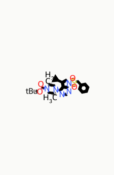 C[C@@H]1CN(c2ncnc3c2c(C2CC2)cn3S(=O)(=O)Cc2ccccc2)[C@@H](C)CN1C(=O)OC(C)(C)C